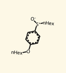 [CH2]CCCCC[S+]([O-])c1ccc(OCCCCCC)cc1